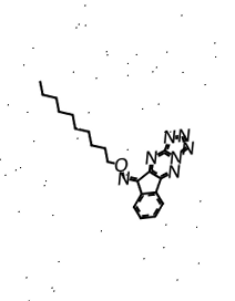 CCCCCCCCCCON=C1c2ccccc2-c2nn3nnnc3nc21